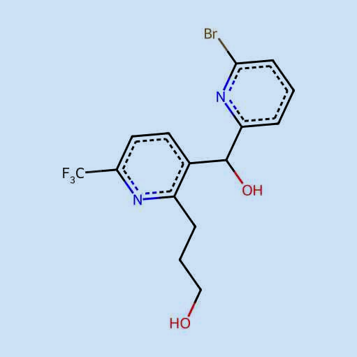 OCCCc1nc(C(F)(F)F)ccc1C(O)c1cccc(Br)n1